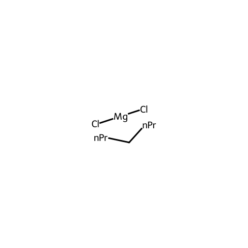 C[CH]CCCCC.[Cl][Mg][Cl]